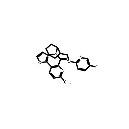 Cc1ccc(-c2ncco2)c(C(=O)N2C3CCC2C(COc2ccc(F)cn2)C3)n1